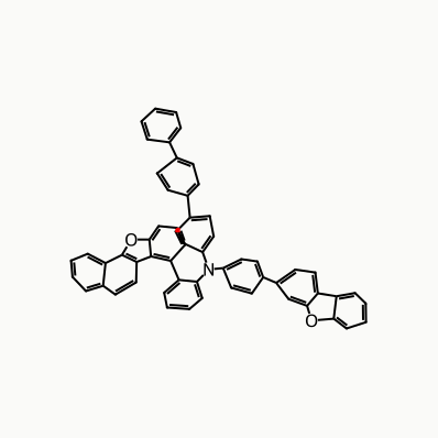 c1ccc(-c2ccc(-c3ccc(N(c4ccc(-c5ccc6c(c5)oc5ccccc56)cc4)c4ccccc4-c4cccc5oc6c7ccccc7ccc6c45)cc3)cc2)cc1